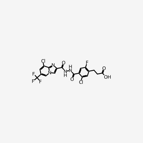 O=C(O)CCc1cc(Cl)c(C(=O)NNC(=O)c2cn3cc(C(F)(F)F)cc(Cl)c3n2)cc1F